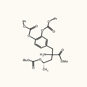 COC(=O)C(N)(Cc1ccc(OC(=O)OC(C)C)c(OC(=O)OC(C)C)c1)C[C@H](C)OC(=O)OCC(C)C